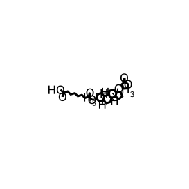 C[C@]12CC[C@H](OC(=O)CCCCCCC(=O)O)C[C@H]1CC[C@@H]1[C@@H]2CC[C@]2(C)[C@@H](C3=CC(=O)OC3)CC[C@]12O